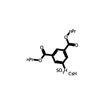 CCCOC(=O)c1cc(C(=O)OCCC)cc(S(=O)(=O)O)c1.[CsH]